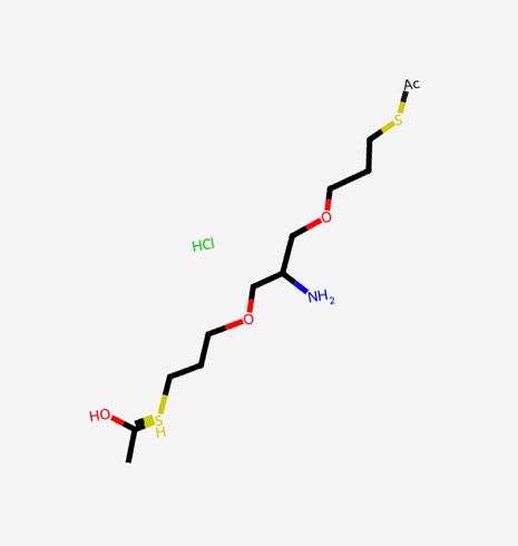 CC(=O)SCCCOCC(N)COCCC[SH]=C(C)O.Cl